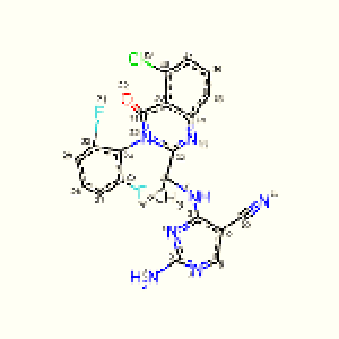 CC(Nc1nc(N)ncc1C#N)c1nc2cccc(Cl)c2c(=O)n1-c1c(F)cccc1F